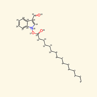 CCCCCCCCCCCCCCCC(=O)On1cc(C=O)c2ccccc21